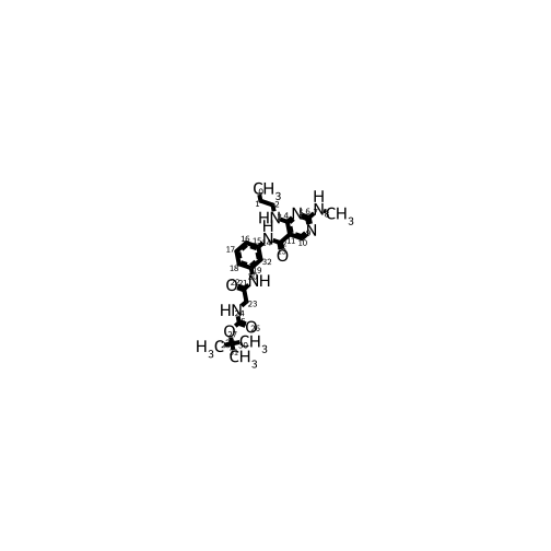 CCCNc1nc(NC)ncc1C(=O)Nc1cccc(NC(=O)CNC(=O)OC(C)(C)C)c1